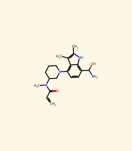 C=CC(=O)N(C)C1CCCN(c2ccc(C(N)O)c3[nH]c(C)c(C)c23)C1